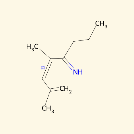 C=C(C)/C=C(/C)C(=N)CCC